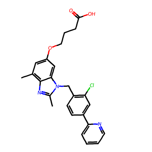 Cc1cc(OCCCC(=O)O)cc2c1nc(C)n2Cc1ccc(-c2ccccn2)cc1Cl